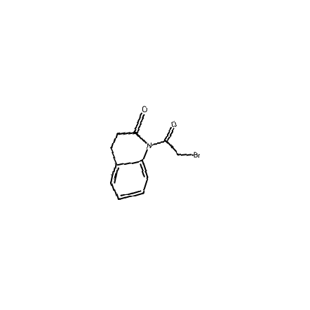 O=C(CBr)N1C(=O)CCc2ccccc21